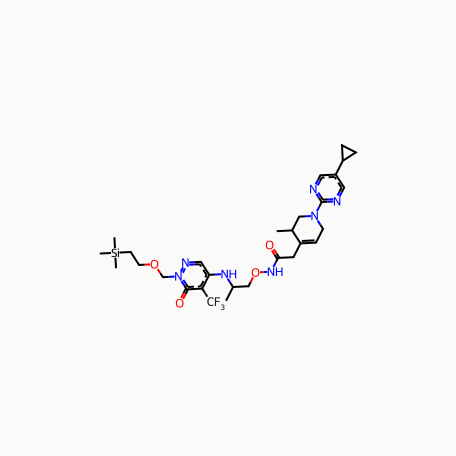 CC(CONC(=O)CC1=CCN(c2ncc(C3CC3)cn2)CC1C)Nc1cnn(COCC[Si](C)(C)C)c(=O)c1C(F)(F)F